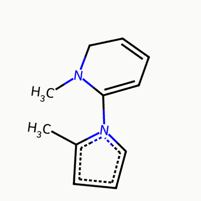 Cc1cccn1C1=CC=CCN1C